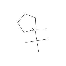 CC(C)(C)[Si]1(C)CCCC1